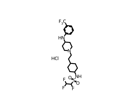 Cl.O=S(=O)(NC1CCC(CCN2CCC(Nc3cccc(C(F)(F)F)c3)CC2)CC1)C(F)C(F)F